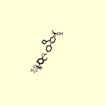 CS(=O)(=O)c1ccc(OC[C@H]2CC[C@H](N3CCN(C(O)=S)CC3C3CCC3)CC2)c(F)c1